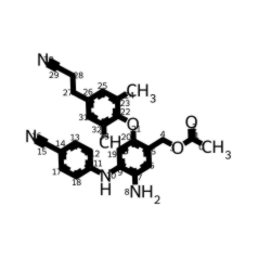 CC(=O)OCc1cc(N)c(Nc2ccc(C#N)cc2)cc1Oc1c(C)cc(CCC#N)cc1C